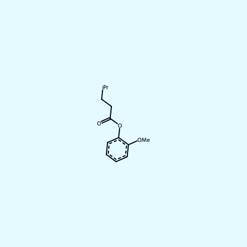 COc1ccccc1OC(=O)CCC(C)C